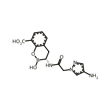 Nc1cnn(CC(=O)N[C@H]2Cc3cccc(C(=O)O)c3OB2O)c1